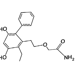 CCc1c(O)cc(O)c(-c2ccccc2)c1CCOCC(N)=O